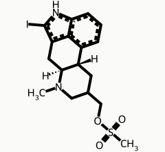 CN1CC(COS(C)(=O)=O)C[C@H]2c3cccc4[nH]c(I)c(c34)C[C@@H]21